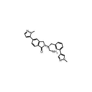 Cn1cc(-c2cccc(C[C@@H](CN)N3Cc4cc(-c5ccnn5C)ccc4C3=O)c2)cn1